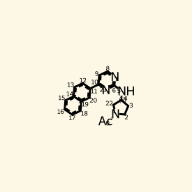 CC(=O)N1CC[C@H](Nc2nccc(-c3ccc4ccccc4c3)n2)C1